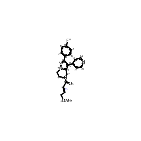 COC/C=C/C(=O)N1CCn2nc(-c3ccc(F)cc3)c(-c3ccncc3)c2C1